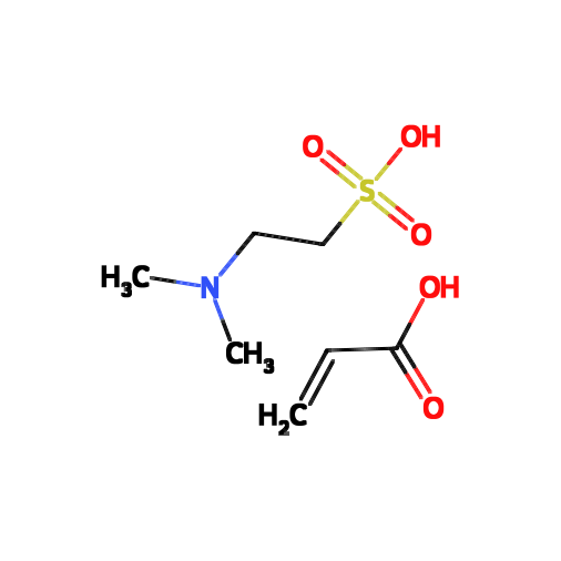 C=CC(=O)O.CN(C)CCS(=O)(=O)O